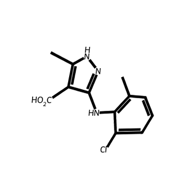 Cc1cccc(Cl)c1Nc1n[nH]c(C)c1C(=O)O